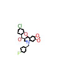 O=C(c1ccc(Cl)cc1)c1cn(Cc2ccc(F)cc2)c2cc3c(cc2c1=O)OCO3